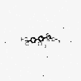 Cc1csc(-c2ccc(-c3ccc(C(=O)O)cc3)c(C)c2)n1